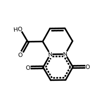 O=C(O)C1C=CCn2c(=O)ccc(=O)n21